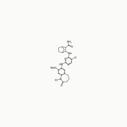 CCN1C(=O)CCCc2cc(Nc3ncc(Cl)c(NC4C5CCC(C5)C4C(N)=O)n3)c(OC)cc21